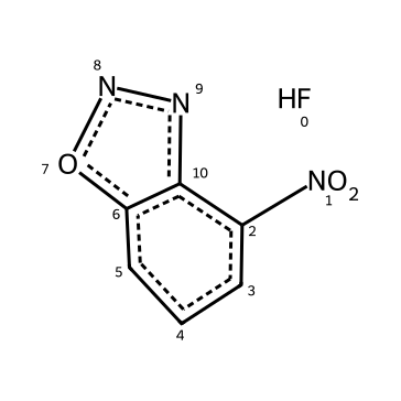 F.O=[N+]([O-])c1cccc2onnc12